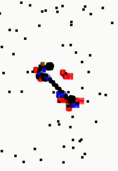 O=C(c1csc(-c2ccccc2)n1)N1CCOC2(CCN(CCCCCCCCCNCC(O)c3ccc(O)c4[nH]c(=O)sc34)CC2)C1.O=CO